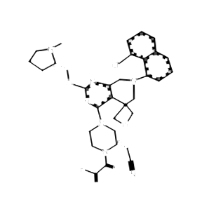 C=C(F)C(=O)N1CCN(c2nc(OC[C@@H]3CCCN3C)nc3c2C2(COC2)CN(c2cccc4cccc(Cl)c24)C3)C[C@@H]1CC#N